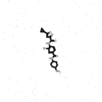 NC1CCC(NC(=O)c2ccc(NC(=O)c3cc(C4CC4)on3)c(Br)c2)CC1